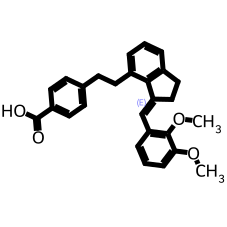 COc1cccc(/C=C2\CCc3cccc(CCc4ccc(C(=O)O)cc4)c32)c1OC